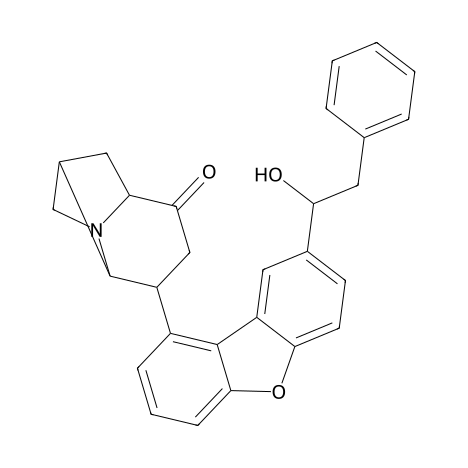 O=C1CC(c2cccc3oc4ccc(C(O)Cc5ccccc5)cc4c23)C2C3CC1N2C3